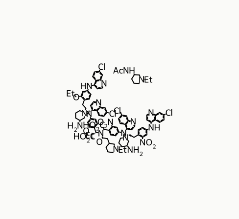 CCN1CCCC(NC(C)=O)C1.CCOc1cc(Nc2ccnc3cc(Cl)ccc23)ccc1CC[N+]1(N(c2ccc(C(C(=O)O)N(C(=O)CC3CCCN(CC)C3)C(C(=O)O)c3ccc(N(c4ccnc5cc(Cl)ccc45)[N+]4(CCc5ccc(Nc6ccnc7cc(Cl)ccc67)cc5[N+](=O)[O-])CCCC(N)C4)cc3[N+](=O)[O-])c(OCC)c2)c2ccnc3cc(Cl)ccc23)CCCC(N)C1